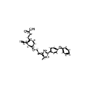 Cc1oc(-c2ccc(Oc3ccccc3)cc2)nc1CCOc1ccc(CCC(=O)O)c(C#N)c1